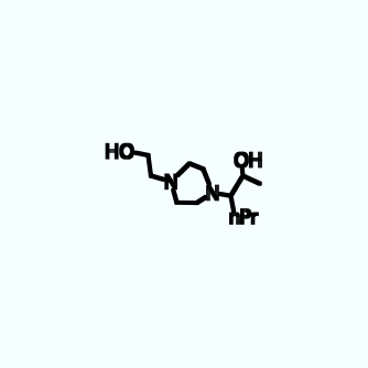 CCCC(C(C)O)N1CCN(CCO)CC1